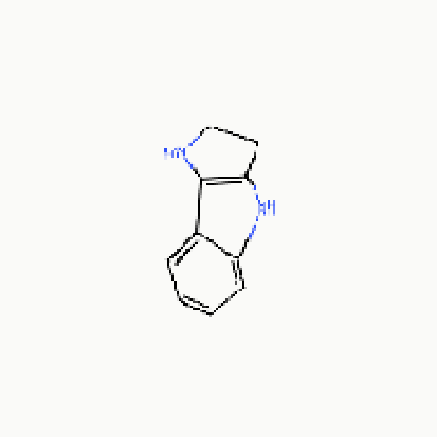 c1ccc2c3c([nH]c2c1)CCN3